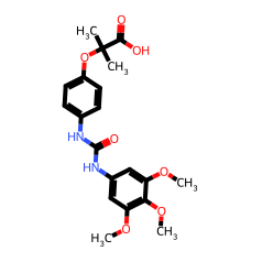 COc1cc(NC(=O)Nc2ccc(OC(C)(C)C(=O)O)cc2)cc(OC)c1OC